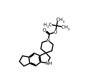 CC(C)(C)OC(=O)N1CCC2(CC1)CNc1cc3c(cc12)CCC3